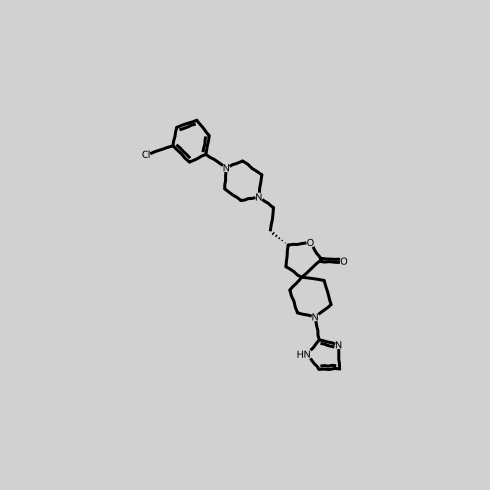 O=C1O[C@@H](CCN2CCN(c3cccc(Cl)c3)CC2)CC12CCN(c1ncc[nH]1)CC2